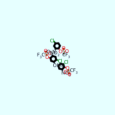 COc1cc(OS(=O)(=O)C(F)(F)F)c([N+](=O)[O-])cc1Cl.O=[N+]([O-])c1cc(Cl)ccc1OS(=O)(=O)C(F)(F)F.O=[N+]([O-])c1cccc(Cl)c1OS(=O)(=O)C(F)(F)F